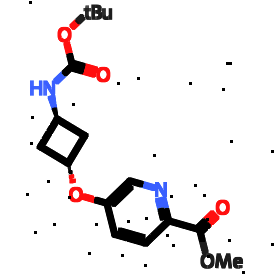 COC(=O)c1ccc(O[C@H]2C[C@H](NC(=O)OC(C)(C)C)C2)cn1